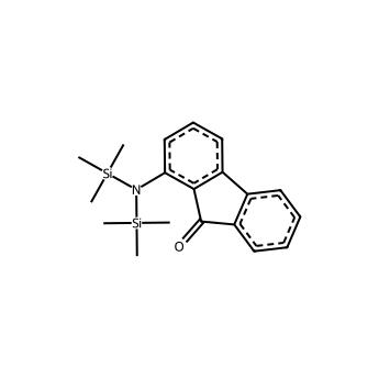 C[Si](C)(C)N(c1cccc2c1C(=O)c1ccccc1-2)[Si](C)(C)C